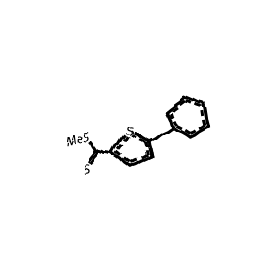 CSC(=S)c1ccc(-c2ccccc2)s1